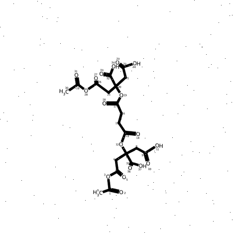 CC(=O)OC(=O)CC(CC(=O)O)(OC(=O)CCC(=O)OC(CC(=O)O)(CC(=O)OC(C)=O)C(=O)O)C(=O)O